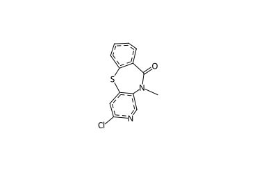 CN1C(=O)c2ccccc2Sc2cc(Cl)ncc21